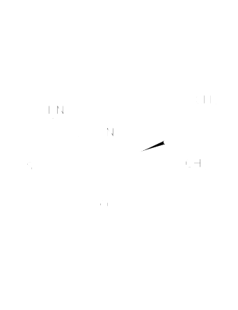 CCC(C)[C@H]1COc2ccsc2C(N)=N1